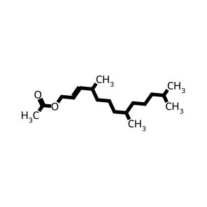 CC(=O)OCC=CC(C)CCCC(C)CCCC(C)C